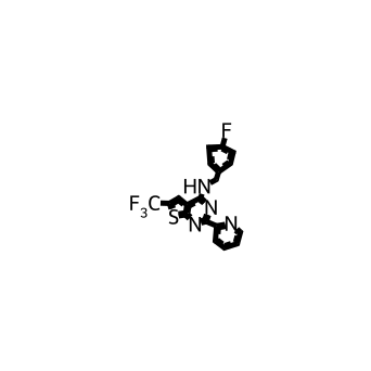 Fc1ccc(CNc2nc(-c3ccccn3)nc3sc(C(F)(F)F)cc23)cc1